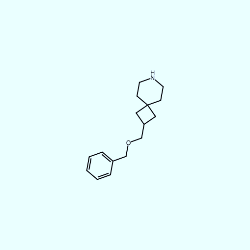 c1ccc(COCC2CC3(CCNCC3)C2)cc1